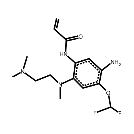 C=CC(=O)Nc1cc(N)c(OC(F)F)cc1N(C)CCN(C)C